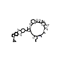 C=CCC1/C=C(\C)CC(C)CC(OC)C2OC(O)(C(=O)C(=O)N3CCCCC3C(=O)OC(C(C)=CC3CCC(N(C)c4ccc5c(ccn5C5CC5)c4)C(OC)C3)C(C)CCC1=O)C(C)CC2OC